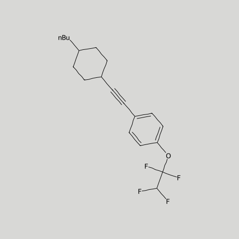 CCCCC1CCC(C#Cc2ccc(OC(F)(F)C(F)F)cc2)CC1